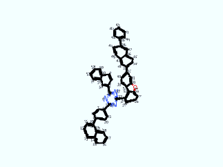 C1=CC(c2nc(-c3ccc(-c4cccc5ccccc45)cc3)nc(-c3cccc4oc5cc(-c6ccc7cc(-c8ccccc8)ccc7c6)ccc5c34)n2)Cc2ccccc21